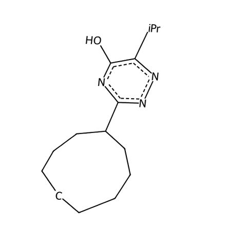 CC(C)c1nnc(C2CCCCCCCC2)nc1O